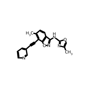 Cc1coc(Nc2noc3c(C#Cc4cccnc4)c(C)ccc23)n1